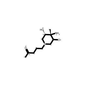 [CH2][C@@]1(N)C(Cl)CN(CCCC(C)=O)C[C@@H]1O